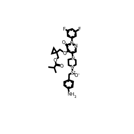 CC(C)C(=O)OCC1(COc2c(N3CCN([S+]([O-])Cc4ccc(N)cc4)CC3)cnn(-c3cc(F)cc(F)c3)c2=O)CC1